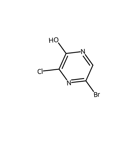 Oc1ncc(Br)nc1Cl